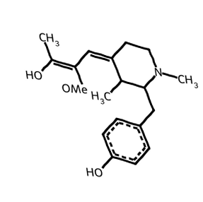 COC(/C=C1/CCN(C)C(Cc2ccc(O)cc2)C1C)=C(/C)O